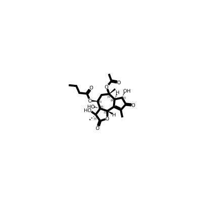 CCCC(=O)O[C@H]1C[C@](C)(OC(C)=O)[C@@H]2C(=C(C)C(=O)[C@H]2O)[C@@H]2OC(=O)[C@@](C)(O)[C@@]12O